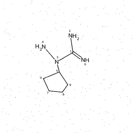 N=C(N)N(N)C1CCCC1